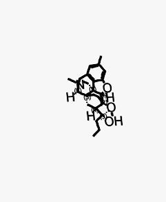 CCC[C@](C)(O)[C@H]1C[C@@]23CC[C@]1(OC)[C@@H]1Oc4cc(C)cc5c4[C@@]12CCN(C)[C@@H]3C5